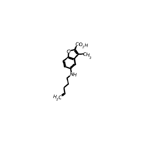 C=CCCCNc1ccc2oc(C(=O)O)c(C)c2c1